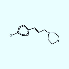 Clc1ccc(C=CCN2CC[N]CC2)cc1